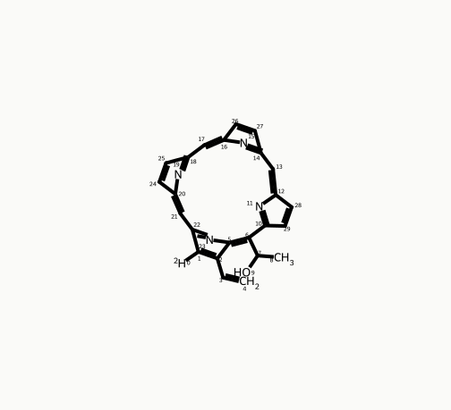 [2H]C1=C(C=C)C2=C(C(C)O)C3=NC(=CC4=NC(=CC5=NC(=CC1=N2)C=C5)C=C4)C=C3